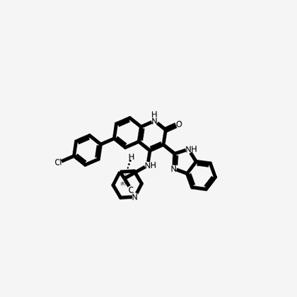 O=c1[nH]c2ccc(-c3ccc(Cl)cc3)cc2c(N[C@H]2CN3CCC2CC3)c1-c1nc2ccccc2[nH]1